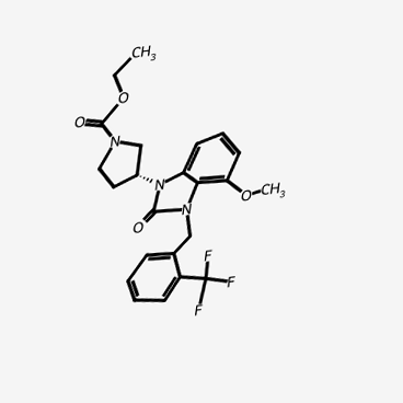 CCOC(=O)N1CC[C@@H](n2c(=O)n(Cc3ccccc3C(F)(F)F)c3c(OC)cccc32)C1